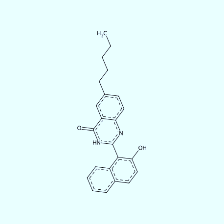 CCCCCc1ccc2nc(-c3c(O)ccc4ccccc34)[nH]c(=O)c2c1